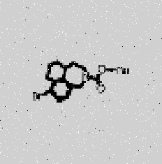 CC(C)(C)OC(=O)N1CCC2CCCc3c(Br)ccc(c32)C1